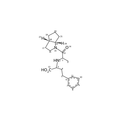 CC(NC(CCc1ccccc1)C(=O)O)C(=O)N1CC[C@@H]2CCC[C@@H]21